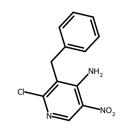 Nc1c([N+](=O)[O-])cnc(Cl)c1Cc1ccccc1